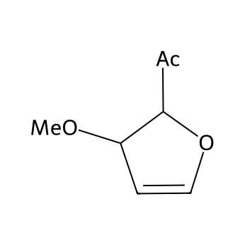 COC1C=COC1C(C)=O